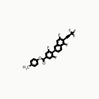 Cc1ccc(OC(=O)c2cc(F)c(-c3ccc4c(F)c(C#CC(F)(F)F)c(F)cc4c3)c(F)c2)cc1